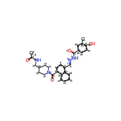 O=C(N/N=C/c1ccc(C(=O)N2CCC(CNC(=O)C(F)(F)F)CC2)c2ccccc12)c1ccc(O)c(Cl)c1